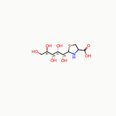 O=C(O)C1CSC([C@H](O)[C@@H](O)[C@H](O)[C@H](O)CO)N1